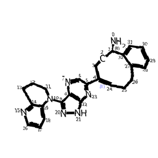 N[C@@H]1CC/C(c2cnc3c(N4CCCc5ncccc54)n[nH]c3n2)=C\CCc2ccccc21